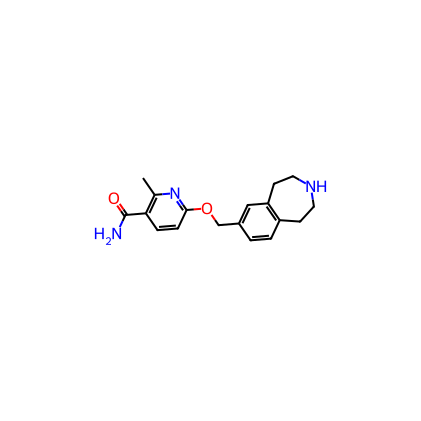 Cc1nc(OCc2ccc3c(c2)CCNCC3)ccc1C(N)=O